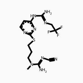 CN(CCCSc1nccc(NC(N)=NCC(F)(F)F)n1)C(N)=NC#N